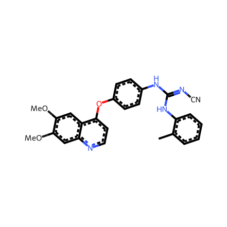 COc1cc2nccc(Oc3ccc(N/C(=N/C#N)Nc4ccccc4C)cc3)c2cc1OC